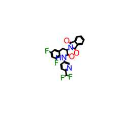 O=C(Nc1ccc(C(F)F)nc1)C(Cc1cc(F)cc(F)c1)N1C(=O)c2ccccc2C1=O